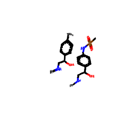 CC(C)NCC(O)c1ccc(NS(C)(=O)=O)cc1.CC(C)NCC(O)c1ccc([N+](=O)[O-])cc1